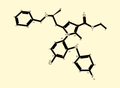 CCOC(=O)c1cc(C[C@H](C)OCc2ccccc2)n(-c2ccc(Cl)cc2Oc2ccc(F)cc2)c1C